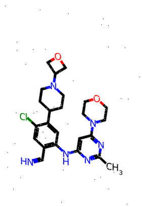 Cc1nc(Nc2cc(C3CCN(C4COC4)CC3)c(Cl)cc2C=N)cc(N2CCOCC2)n1